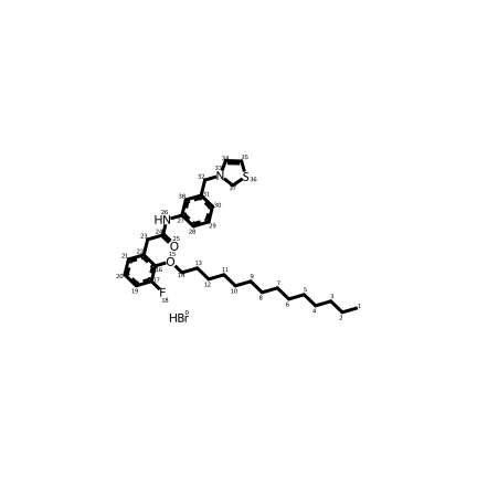 Br.CCCCCCCCCCCCCCOc1c(F)cccc1CC(=O)Nc1cccc(CN2C=CSC2)c1